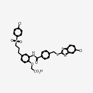 O=C(O)COc1ccc(CCCS(=O)(=O)c2ccc(Cl)cc2)cc1NC(=O)c1ccc(CSc2nc3cc(Cl)ccc3s2)cc1